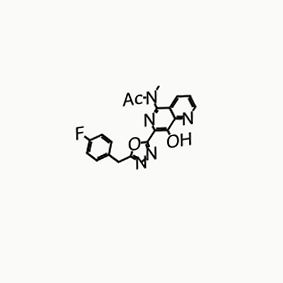 CC(=O)N(C)c1nc(-c2nnc(Cc3ccc(F)cc3)o2)c(O)c2ncccc12